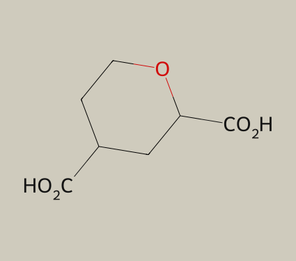 O=C(O)C1CCOC(C(=O)O)C1